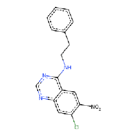 O=[N+]([O-])c1cc2c(NCCc3ccccc3)ncnc2cc1Cl